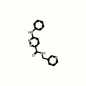 O=C(NCc1cccnc1)c1ccc(Nc2ccccc2)nn1